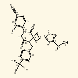 CC(O)c1noc([C@H]2C[C@]3(C2)C(=O)N(c2ccc(C#N)cc2F)CC(=O)N3Cc2ccc(C(F)(F)F)cc2)n1